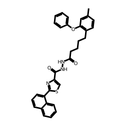 Cc1ccc(CCCCC(=O)NNC(=O)c2csc(-c3cccc4ccccc34)n2)c(Oc2ccccc2)c1